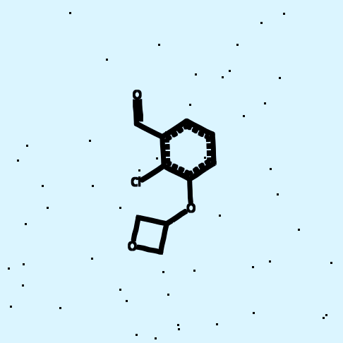 O=Cc1cccc(OC2COC2)c1Cl